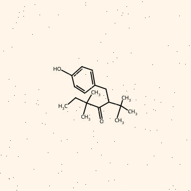 CCC(C)(C)C(=O)C(Cc1ccc(O)cc1)C(C)(C)C